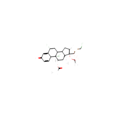 CCC(=O)O[C@]1(C(=O)SCF)[C@H](C)CC2C3C[C@H](F)C4=CC(=O)C=C[C@]4(C)[C@@]3(F)[C@@H](OC(=O)C(F)(F)F)C[C@@]21C